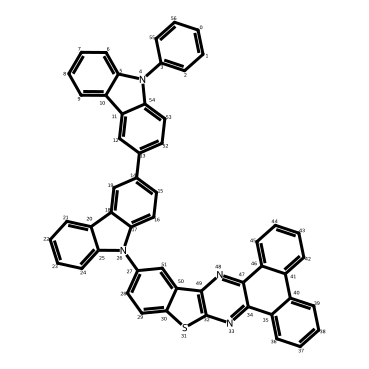 c1ccc(-n2c3ccccc3c3cc(-c4ccc5c(c4)c4ccccc4n5-c4ccc5sc6nc7c8ccccc8c8ccccc8c7nc6c5c4)ccc32)cc1